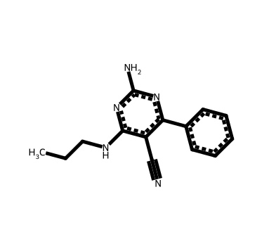 CCCNc1nc(N)nc(-c2ccccc2)c1C#N